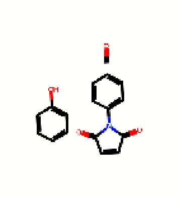 C=O.O=C1C=CC(=O)N1c1ccccc1.Oc1ccccc1